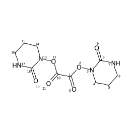 O=C(ON1CCCNC1=O)C(=O)ON1CCCNC1=O